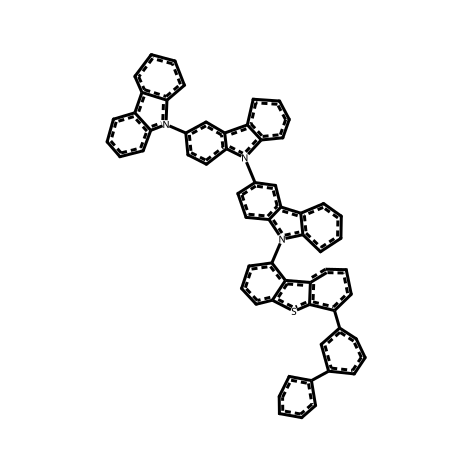 c1ccc(-c2cccc(-c3cccc4c3sc3cccc(-n5c6ccccc6c6cc(-n7c8ccccc8c8cc(-n9c%10ccccc%10c%10ccccc%109)ccc87)ccc65)c34)c2)cc1